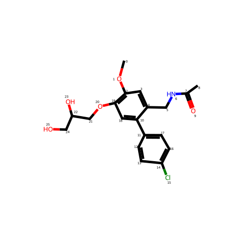 COc1cc(CNC(C)=O)c(-c2ccc(Cl)cc2)cc1OCC(O)CO